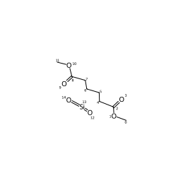 COC(=O)CCCCC(=O)OC.O=[Si]=O